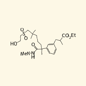 CCOC(=O)C(C)Cc1cccc(C(C)(CCCC(C)(C)CS(=O)(=O)CCO)C(=O)NNC)c1